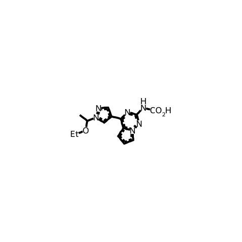 CCOC(C)n1cc(-c2nc(NC(=O)O)nn3cccc23)cn1